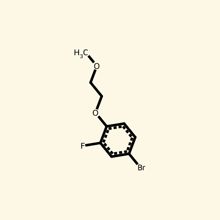 COCCOc1ccc(Br)cc1F